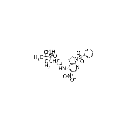 CC(C)(C)[Si](C)(C)OC1CC(Nc2c([N+](=O)[O-])cnc3c2ccn3S(=O)(=O)c2ccccc2)C1